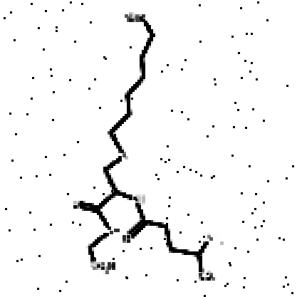 CCCCCCCCCCCCCCCCSCC(NC(=O)CCC(N)C(=O)O)C(=O)NCC(=O)O